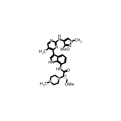 COC[C@@H](C(=O)Nc1cccc2c(-c3nc(Nc4cn(C)nc4OC)ncc3C)c[nH]c12)N1CCN(C)CC1